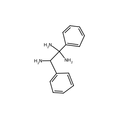 NC(c1ccccc1)C(N)(N)c1ccccc1